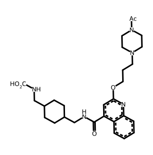 CC(=O)N1CCN(CCCOc2cc(C(=O)NCC3CCC(CNC(=O)O)CC3)c3ccccc3n2)CC1